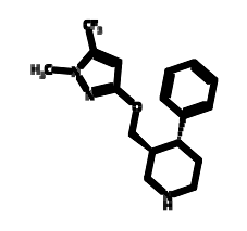 Cn1nc(OC[C@@H]2CNCC[C@H]2c2ccccc2)cc1C(F)(F)F